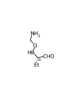 CC[C@H](BOCN)C=O